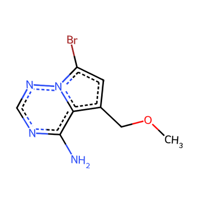 COCc1cc(Br)n2ncnc(N)c12